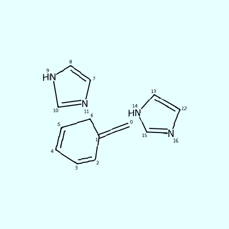 C=C1C=CC=CC1.c1c[nH]cn1.c1c[nH]cn1